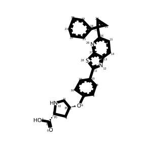 O=C(O)[C@H]1C[C@@H](Oc2ccc(-c3nc4ccc(C5(c6ccccc6)C=C5)nc4s3)cc2)CN1